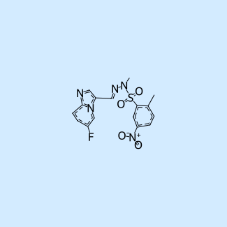 Cc1ccc([N+](=O)[O-])cc1S(=O)(=O)N(C)N=Cc1cnc2ccc(F)cn12